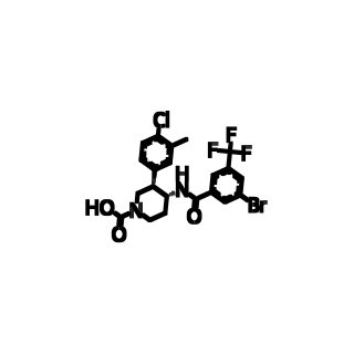 Cc1cc([C@@H]2CN(C(=O)O)CC[C@H]2NC(=O)c2cc(Br)cc(C(F)(F)F)c2)ccc1Cl